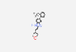 FC(F)(F)c1ccccc1-c1ccc2[nH]c(/C=C/C3CCOCC3)nc2c1